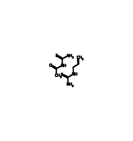 C=CCNC(N)=S.CC(=O)NC(N)=S